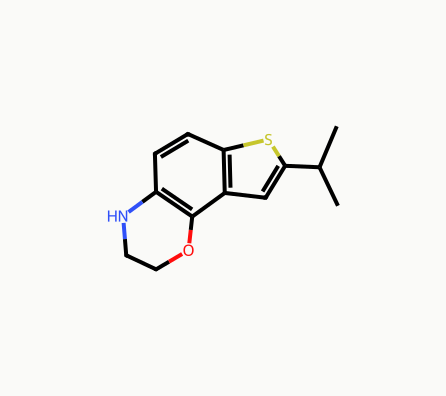 CC(C)c1cc2c3c(ccc2s1)NCCO3